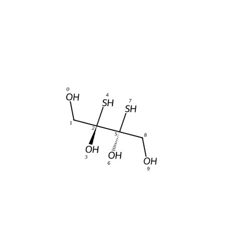 OC[C@](O)(S)[C@@](O)(S)CO